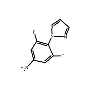 Nc1cc(F)c(-n2cccn2)c(F)c1